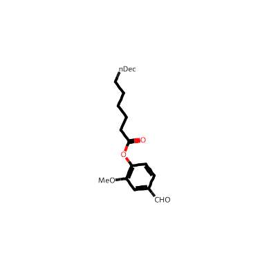 CCCCCCCCCCCCCCCC(=O)Oc1ccc(C=O)cc1OC